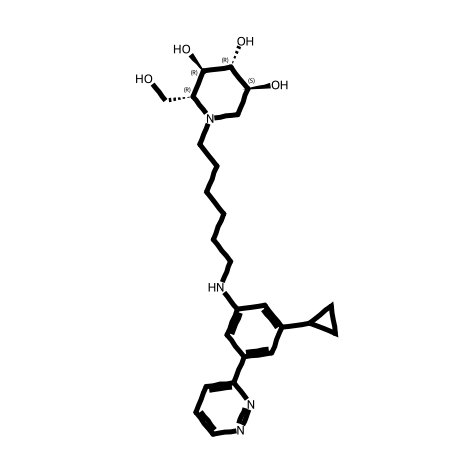 OC[C@@H]1[C@@H](O)[C@H](O)[C@@H](O)CN1CCCCCCNc1cc(-c2cccnn2)cc(C2CC2)c1